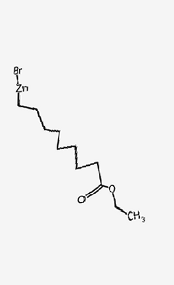 CCOC(=O)CCCCCCC[CH2][Zn][Br]